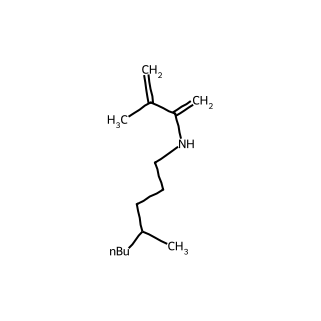 C=C(C)C(=C)NCCCC(C)CCCC